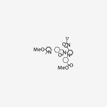 COc1ccc([C@H]2CC[C@H](CN(c3ncccc3-c3coc(C4CC4)n3)C(=O)[C@H]3CC[C@H](C(=O)OC)CC3)CC2)nc1C